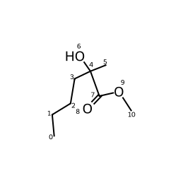 CCCCC(C)(O)C(=O)OC